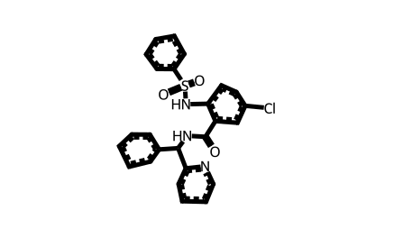 O=C(NC(c1ccccc1)c1ccccn1)c1cc(Cl)ccc1NS(=O)(=O)c1ccccc1